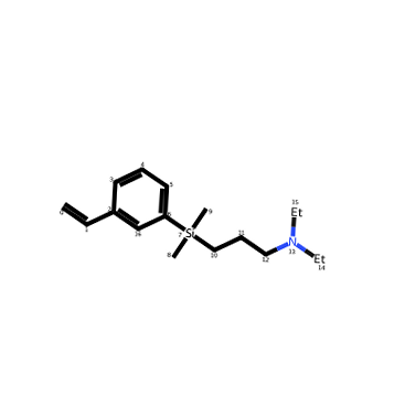 C=Cc1cccc([Si](C)(C)CCCN(CC)CC)c1